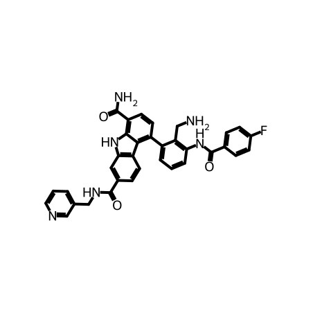 NCc1c(NC(=O)c2ccc(F)cc2)cccc1-c1ccc(C(N)=O)c2[nH]c3cc(C(=O)NCc4cccnc4)ccc3c12